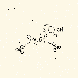 CC(C)(C)N(CC(COc1cccc2c1C[C@@H](O)[C@@H](O)C2)OC(=O)CCCO[N+](=O)[O-])C(=O)CCCO[N+](=O)[O-]